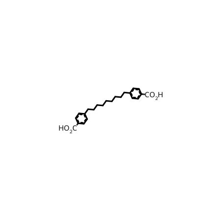 O=C(O)c1ccc(CCCCCCCCCc2ccc(C(=O)O)cc2)cc1